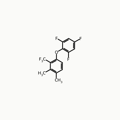 Cc1ccc(Oc2c(F)cc(F)cc2F)c(C(F)(F)F)c1C